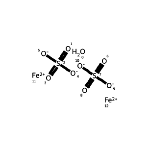 O.O=S(=O)([O-])[O-].O=S(=O)([O-])[O-].[Fe+2].[Fe+2]